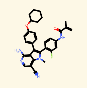 C=C(C)C(=O)Nc1ccc(-c2c(-c3ccc(OC4CCCCC4)cc3)c3c(N)ncc(C#N)c3n2C)c(F)c1